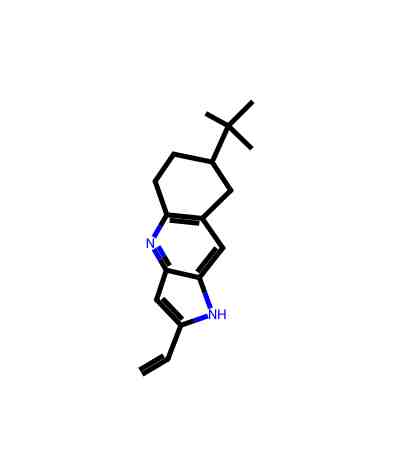 C=Cc1cc2nc3c(cc2[nH]1)CC(C(C)(C)C)CC3